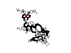 COc1ccc(CN(Cc2ccc(OC)cc2)c2cc(C)c(C(F)(F)F)c(C3=C(F)C=C(OC[C@@]45CCCN4C[C@H](F)C5)N4C5=NCN6C7=C5[C@@H](CCCC4=C3Cl)[C@H](CC7)N6C(=O)OC(C)(C)C)n2)cc1